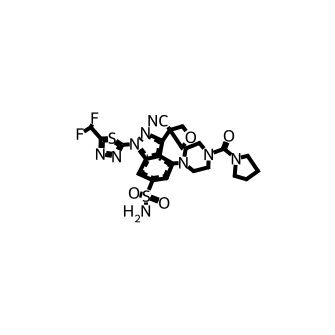 N#CC1(c2nn(-c3nnc(C(F)F)s3)c3cc(S(N)(=O)=O)cc(N4CCN(C(=O)N5CCCC5)CC4)c23)COC1